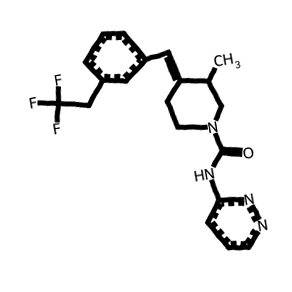 CC1CN(C(=O)Nc2cccnn2)CCC1=Cc1cccc(CC(F)(F)F)c1